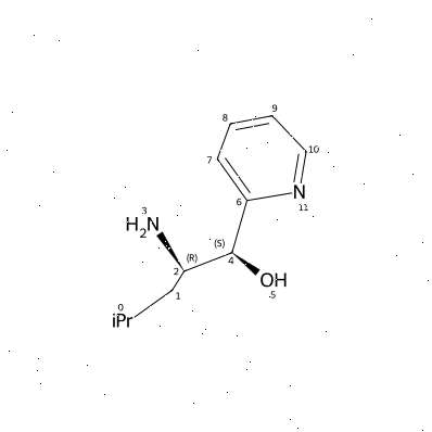 CC(C)C[C@@H](N)[C@H](O)c1ccccn1